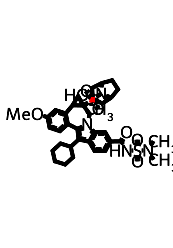 COc1ccc2c(c1)C1CC1(S(=O)(=O)N1C3CCC1CC(C)(O)C3)Cn1c-2c(C2CCCCC2)c2ccc(C(=O)NS(=O)(=O)N(C)C)cc21